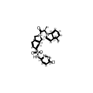 C[C@H](C(=O)N1Cc2ccc(S(=O)(=O)Nc3ccc(Cl)nn3)cc2C1)n1ccc2c(F)cccc21